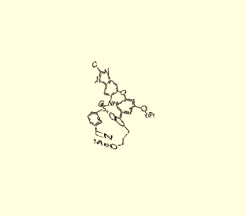 CCCOc1cc(OCCCOC)cc(Oc2cc3c(cc2NS(=O)(=O)c2cccc(C#N)c2)n(C)c(=O)n3C)c1